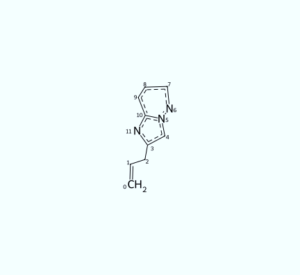 C=CCc1cn2ncccc2n1